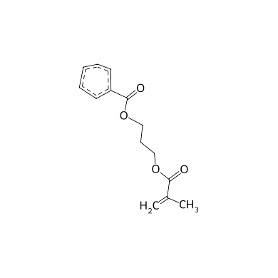 C=C(C)C(=O)OCCCOC(=O)c1ccccc1